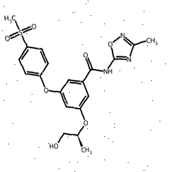 Cc1noc(NC(=O)c2cc(Oc3ccc(S(C)(=O)=O)cc3)cc(O[C@@H](C)CO)c2)n1